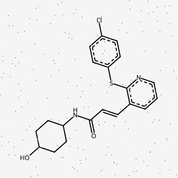 O=C(C=Cc1cccnc1Sc1ccc(Cl)cc1)NC1CCC(O)CC1